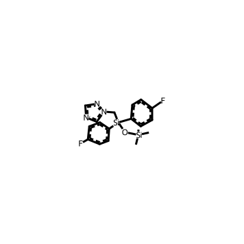 C[Si](C)(C)O[Si](Cn1cncn1)(c1ccc(F)cc1)c1ccc(F)cc1